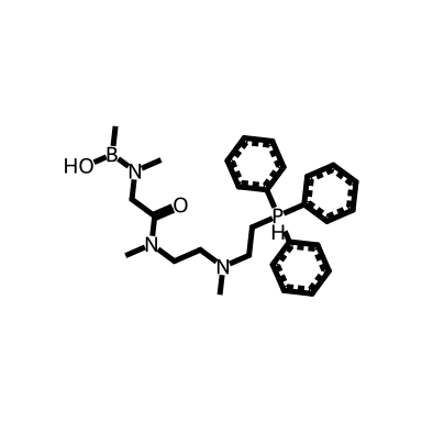 CB(O)N(C)CC(=O)N(C)CCN(C)CC[PH](c1ccccc1)(c1ccccc1)c1ccccc1